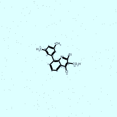 CCc1nc2c(-c3cc(C)cc(C)c3)cccc2c(Cl)c1C(=O)O